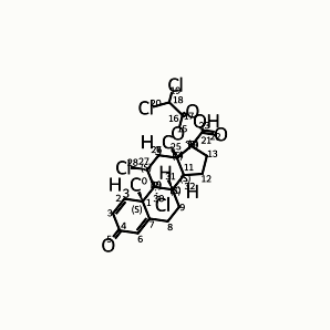 C[C@]12C=CC(=O)C=C1CC[C@H]1[C@@H]3CC[C@](OC(=O)C(Cl)Cl)(C(=O)O)[C@@]3(C)C[C@H](Cl)[C@@]12Cl